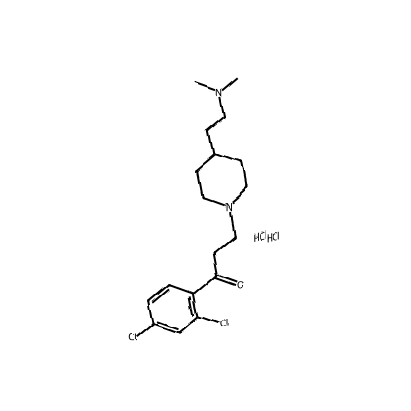 CN(C)CCC1CCN(CCC(=O)c2ccc(Cl)cc2Cl)CC1.Cl.Cl